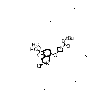 CC(C)(C)OC(=O)N1CC(Oc2ccc(C(C)(O)CO)c3cc(Cl)ncc23)C1